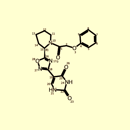 O=C(COc1ccccc1)N1CCCC[C@@H]1c1nc(-c2c[nH]c(=O)[nH]c2=O)no1